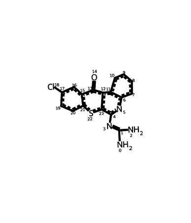 NC(N)=Nc1nc2ccccc2c2c(=O)c3cc(Cl)ccc3sc12